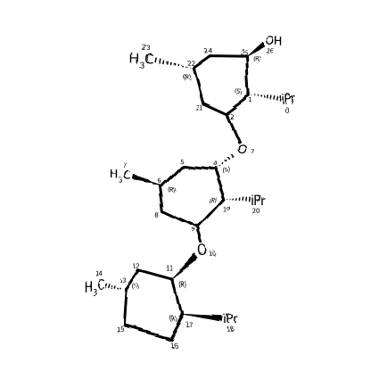 CC(C)[C@@H]1C(O[C@H]2C[C@H](C)CC(O[C@@H]3C[C@@H](C)CC[C@@H]3C(C)C)[C@H]2C(C)C)C[C@H](C)C[C@H]1O